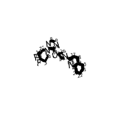 FC1(F)CCN(c2nccnc2OC2CN(c3ccc4ccccc4n3)C2)CC1